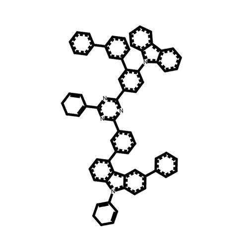 C1=CC(c2nc(-c3cccc(-c4cccc5c4c4cc(-c6ccccc6)ccc4n5C4=CCCC=C4)c3)nc(-c3ccc(-n4c5ccccc5c5ccccc54)c(-c4cccc(-c5ccccc5)c4)c3)n2)=CCC1